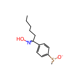 CCCCCC(=NO)c1ccc([S+](C)[O-])cc1